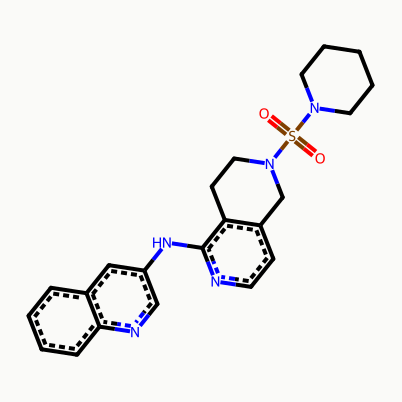 O=S(=O)(N1CCCCC1)N1CCc2c(ccnc2Nc2cnc3ccccc3c2)C1